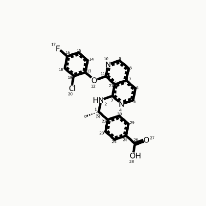 C[C@H](Nc1nccc2ccnc(Oc3ccc(F)cc3Cl)c12)c1ccc(C(=O)O)cc1